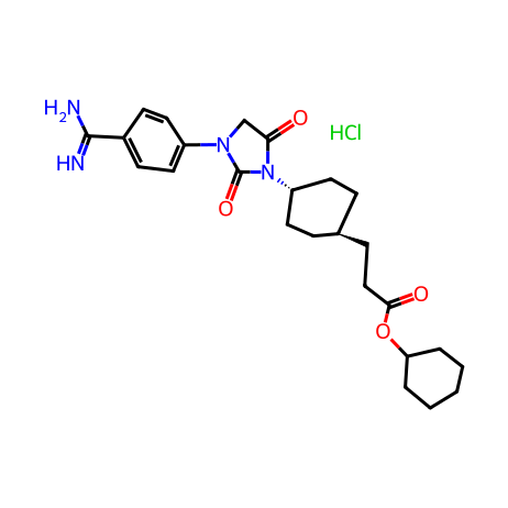 Cl.N=C(N)c1ccc(N2CC(=O)N([C@H]3CC[C@H](CCC(=O)OC4CCCCC4)CC3)C2=O)cc1